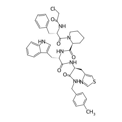 Cc1ccc(CNC(=O)[C@H](Cc2cscn2)NC(=O)[C@H](Cc2c[nH]c3ccccc23)NC(=O)[C@@H]2CCCCN2C(=O)[C@H](Cc2ccccc2)NC(=O)CCl)cc1